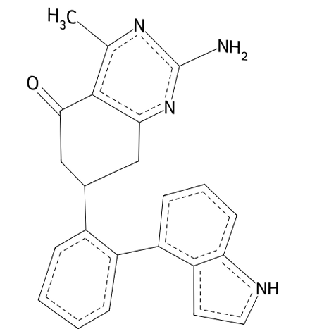 Cc1nc(N)nc2c1C(=O)CC(c1ccccc1-c1cccc3[nH]ccc13)C2